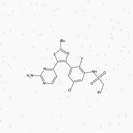 CC(C)CS(=O)(=O)Nc1cc(Cl)cc(-c2nc(C(C)(C)C)sc2-c2ccnc(N)n2)c1F